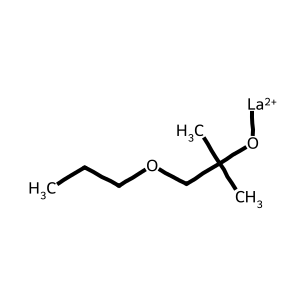 CCCOCC(C)(C)[O][La+2]